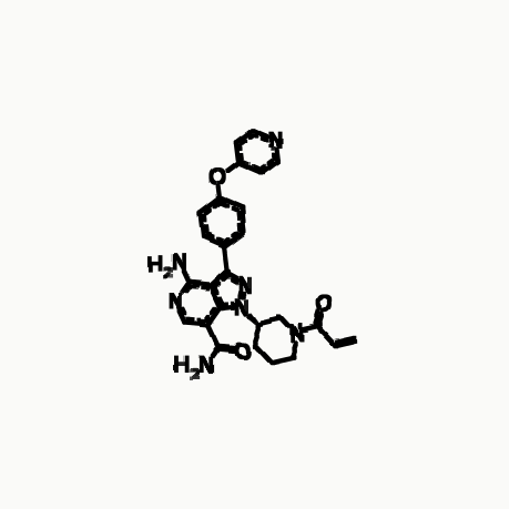 C=CC(=O)N1CCC[C@@H](n2nc(-c3ccc(Oc4ccncc4)cc3)c3c(N)ncc(C(N)=O)c32)C1